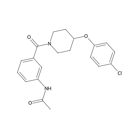 CC(=O)Nc1cccc(C(=O)N2CCC(Oc3ccc(Cl)cc3)CC2)c1